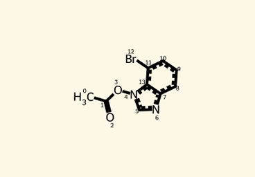 CC(=O)On1cnc2cccc(Br)c21